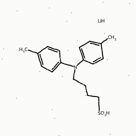 Cc1ccc(N(CCCCS(=O)(=O)O)c2ccc(C)cc2)cc1.[LiH]